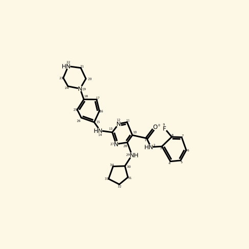 O=C(Nc1ccccc1F)c1cnc(Nc2ccc(N3CCNCC3)cc2)nc1NC1CCCC1